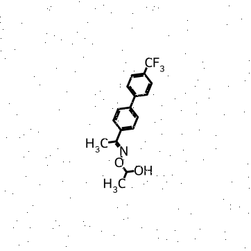 CC(=NOC(C)O)c1ccc(-c2ccc(C(F)(F)F)cc2)cc1